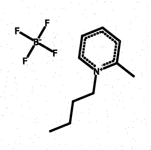 CCCC[n+]1ccccc1C.F[B-](F)(F)F